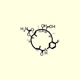 C/C1=C\CC[C@H](C)[C@@H](OC(N)=O)/C(C)=C/[C@H](C)[C@@H](O)[C@@H](CO)C[C@H](C)Cc2cc(ccc2F)NC1=O